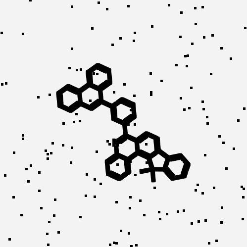 CC1(C)c2ccccc2-c2ccc3c(-c4cccc(-c5cc6ccccc6c6ccccc56)c4)nc4ccccc4c3c21